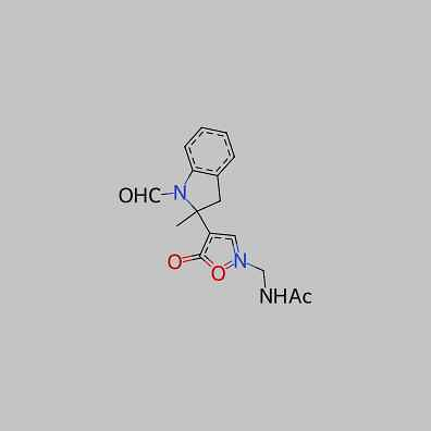 CC(=O)NCn1cc(C2(C)Cc3ccccc3N2C=O)c(=O)o1